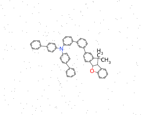 CC1(C)c2cc(-c3cccc(-c4cccc(N(c5ccc(-c6ccccc6)cc5)c5ccc(-c6ccccc6)cc5)c4)c3)ccc2C2Oc3ccccc3C21